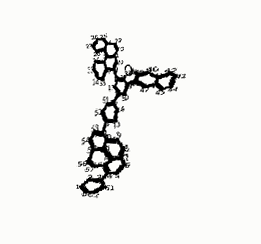 c1ccc(-c2ccc3ccc4c(-c5ccc(-c6cc(-c7cc8ccc9ccccc9c8c8ccccc78)c7oc8cc9ccccc9cc8c7c6)cc5)ccc5ccc2c3c54)cc1